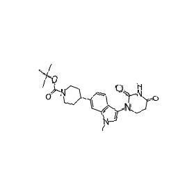 Cn1cc(N2CCC(=O)NC2=O)c2ccc(C3CCN(C(=O)OC(C)(C)C)CC3)cc21